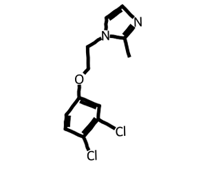 Cc1nccn1CCOc1ccc(Cl)c(Cl)c1